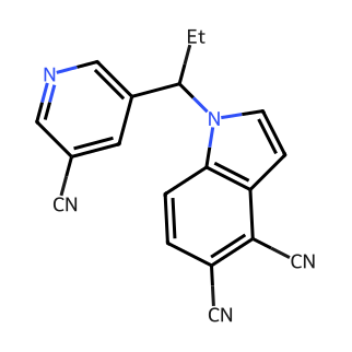 CCC(c1cncc(C#N)c1)n1ccc2c(C#N)c(C#N)ccc21